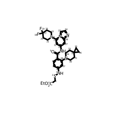 CCOC(=O)CSNc1ccc(C(=O)Nc2cc(N3CCC(F)(F)CC3)n3ccnc3c2)c(N2CCC3(CC2)CC3)c1